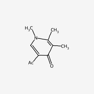 CC(=O)c1cn(C)c(C)c(C)c1=O